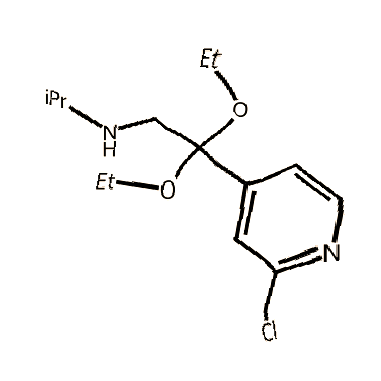 CCOC(CNC(C)C)(OCC)c1ccnc(Cl)c1